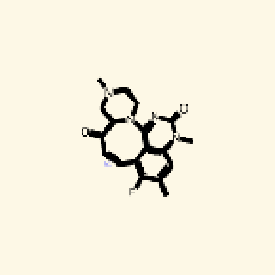 Cc1cc2c3c(nc(=O)n2C)N2CCN(C)CC2C(=O)/C=C\c3c1F